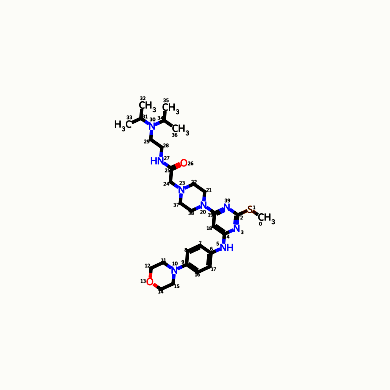 CSc1nc(Nc2ccc(N3CCOCC3)cc2)cc(N2CCN(CC(=O)NCCN(C(C)C)C(C)C)CC2)n1